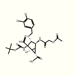 CC(=O)OCC(=O)N[C@H]1C2[C@H](C(=O)O)[C@H]2[C@](NC(=O)OC(C)(C)C)(C(=O)O)[C@@H]1OCc1ccc(Cl)c(Cl)c1